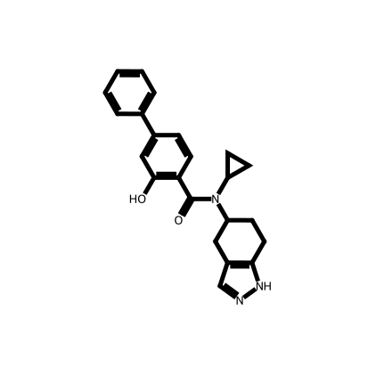 O=C(c1ccc(-c2ccccc2)cc1O)N(C1CC1)C1CCc2[nH]ncc2C1